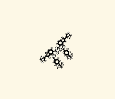 O=C(OC(=O)c1ccc2sc(-c3cscn3)cc2c1OCc1ccc(C(F)(F)F)cc1)c1ccc2sc(-c3cscn3)cc2c1OCc1ccc(C(F)(F)F)cc1